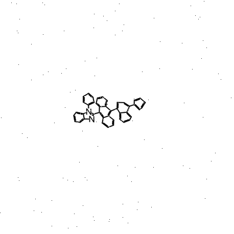 c1ccc(-c2ccc(-c3c4ccccc4c(-c4nc5ccccc5n4-c4ccccc4)c4ccccc34)c3ccccc23)cc1